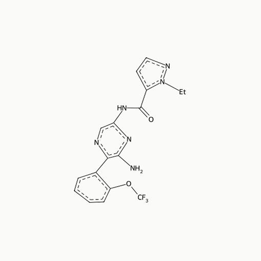 CCn1nccc1C(=O)Nc1cnc(-c2ccccc2OC(F)(F)F)c(N)n1